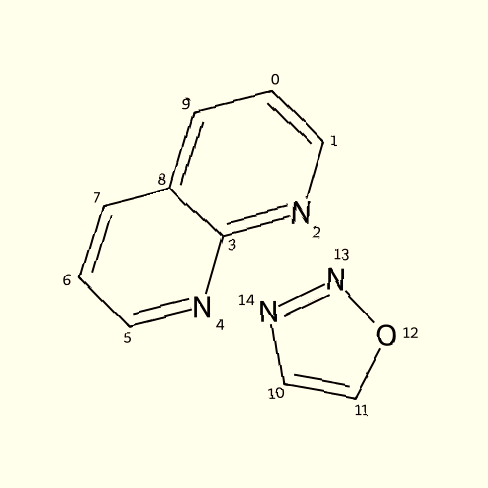 c1cnc2ncccc2c1.c1conn1